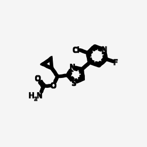 NC(=O)OC(c1nc(-c2cc(F)ncc2Cl)cs1)C1CC1